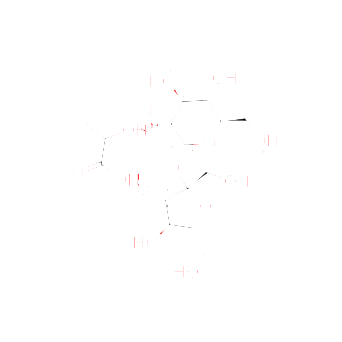 CC(O)C(=O)O.OC[C@H]1O[C@@](CO)(O[C@H]2O[C@H](CO)[C@@H](O)[C@H](O)[C@H]2O)[C@@H](O)[C@@H]1O